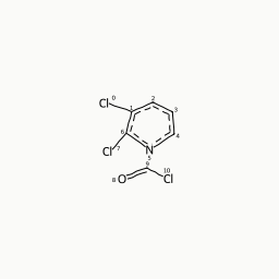 Clc1cccnc1Cl.O=CCl